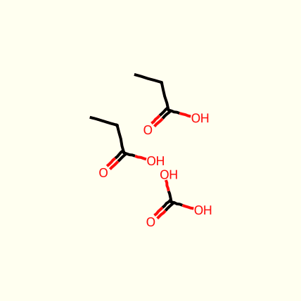 CCC(=O)O.CCC(=O)O.O=C(O)O